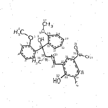 COc1ccccc1C(O)(c1ccccc1OC)[C@@H](C)N=Cc1cc([N+](=O)[O-])cc(F)c1O